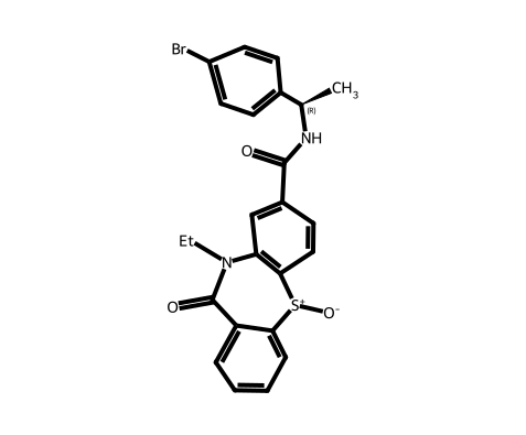 CCN1C(=O)c2ccccc2[S+]([O-])c2ccc(C(=O)N[C@H](C)c3ccc(Br)cc3)cc21